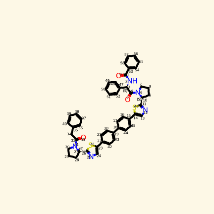 O=C(N[C@H](C(=O)N1CCC[C@H]1c1ncc(-c2ccc(-c3ccc(-c4cnc([C@@H]5CCCN5C(=O)Cc5ccccc5)s4)cc3)cc2)s1)c1ccccc1)c1ccccc1